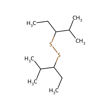 CCC(SSC(CC)C(C)C)C(C)C